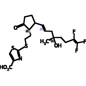 C[C@@](O)(C/C=C/C1CCC(=O)[C@H]1CCSc1nc(C(=O)O)cs1)CCC(F)=C(F)F